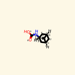 CC1(C)[C@@H]2C[C@@H](NC(=O)O)C[C@H]1C2